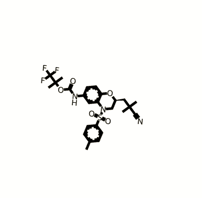 Cc1ccc(S(=O)(=O)N2C[C@H](CC(C)(C)C#N)Oc3ccc(NC(=O)OC(C)(C)C(F)(F)F)cc32)cc1